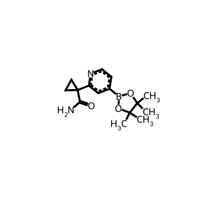 CC1(C)OB(c2ccnc(C3(C(N)=O)CC3)c2)OC1(C)C